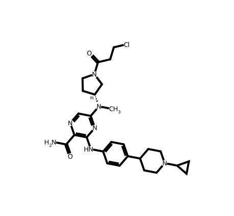 CN(c1cnc(C(N)=O)c(Nc2ccc(C3CCN(C4CC4)CC3)cc2)n1)[C@@H]1CCN(C(=O)CCCl)C1